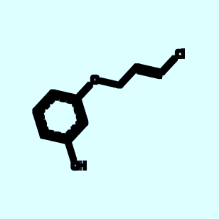 Oc1cccc(OCC=CCl)c1